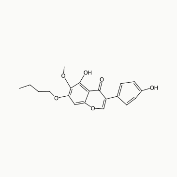 CCCCOc1cc2occ(-c3ccc(O)cc3)c(=O)c2c(O)c1OC